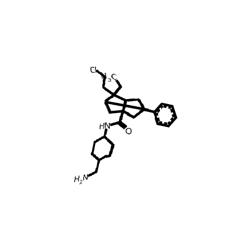 CCC1(CCCl)C2CC3(c4ccccc4)CC2(C(=O)NC2CCC(CN)CC2)CC31